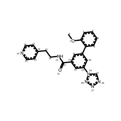 COc1ccccc1-c1cc(C(=O)NCCc2ccncc2)cc(-n2cnnn2)c1